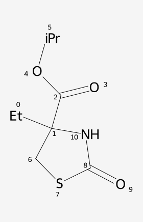 CCC1(C(=O)OC(C)C)CSC(=O)N1